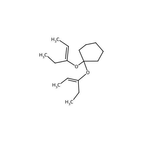 CC=C(CC)OC1(OC(=CC)CC)CCCCC1